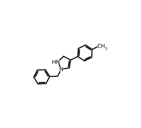 Cc1ccc(C2=CN(Cc3ccccc3)NC2)cc1